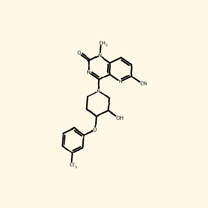 Cn1c(=O)nc(N2CCC(Oc3cccc(C(F)(F)F)c3)C(O)C2)c2nc(C#N)ccc21